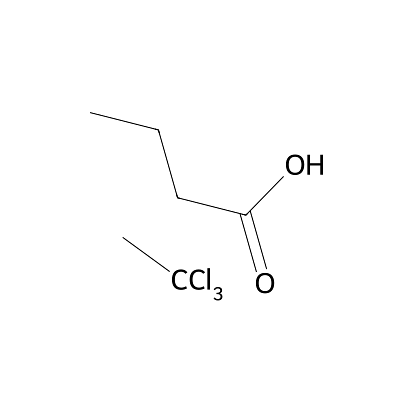 CC(Cl)(Cl)Cl.CCCC(=O)O